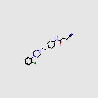 N#CCCC(=O)N[C@H]1CC[C@H](CCN2CCN(c3ccccc3F)CC2)CC1